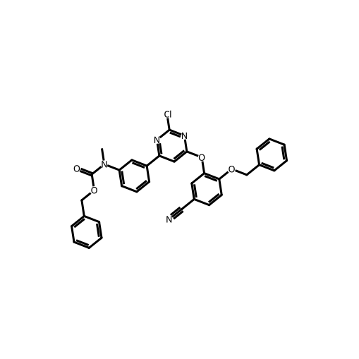 CN(C(=O)OCc1ccccc1)c1cccc(-c2cc(Oc3cc(C#N)ccc3OCc3ccccc3)nc(Cl)n2)c1